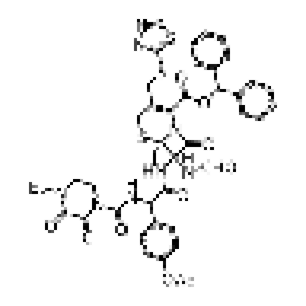 CCN1CCN(C(=O)NC(C(=O)N[C@]2(NC=O)C(=O)N3C(C(=O)OC(c4ccccc4)c4ccccc4)=C(CSc4nncs4)CS[C@@H]32)c2ccc(OC(C)=O)cc2)C(=O)C1=O